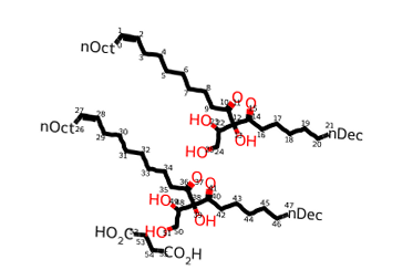 CCCCCCCC/C=C\CCCCCCCC(=O)C(O)(C(=O)CCCCCCCCCCCCCCC)C(O)CO.CCCCCCCC/C=C\CCCCCCCC(=O)C(O)(C(=O)CCCCCCCCCCCCCCC)C(O)CO.O=C(O)CCC(=O)O